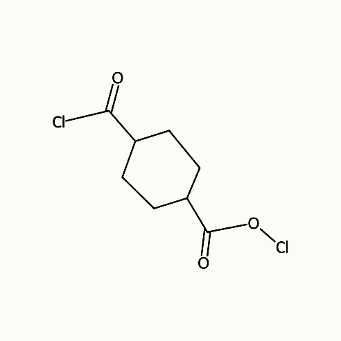 O=C(Cl)C1CCC(C(=O)OCl)CC1